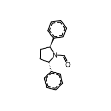 O=CN1[C@H](c2ccccc2)CC[C@H]1c1ccccc1